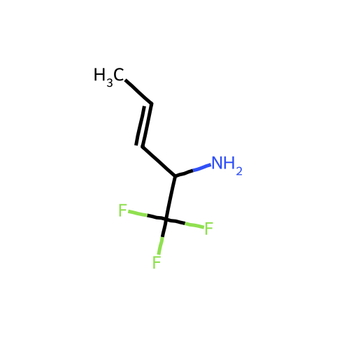 CC=CC(N)C(F)(F)F